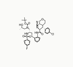 C[C@H](O)CN(C[C@H](CCc1ccccc1NC(=O)[C@@H](N=[N+]=[N-])[C@@H](c1ccc(Cl)cc1)C1CCOCC1)NS(=O)(=O)c1ccc(F)cc1)C(=O)OC(C)(C)C